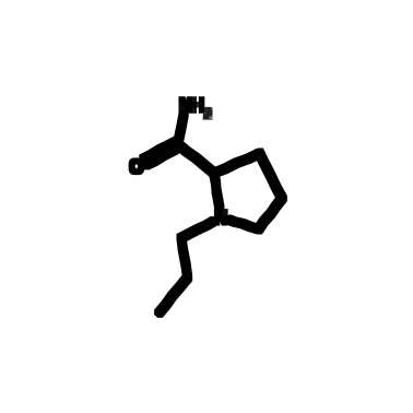 CCCN1CCCC1C(N)=O